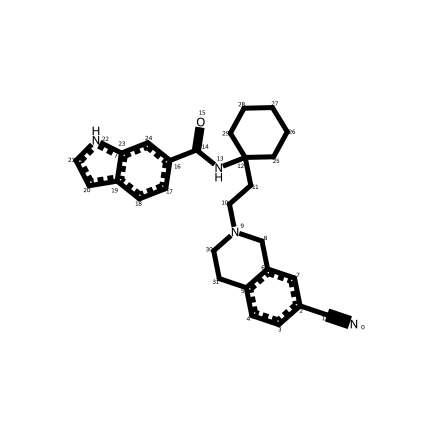 N#Cc1ccc2c(c1)CN(CCC1(NC(=O)c3ccc4cc[nH]c4c3)CCCCC1)CC2